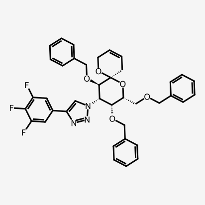 Fc1cc(-c2cn([C@H]3[C@@H](OCc4ccccc4)[C@@H](COCc4ccccc4)O[C@@]4(CC=CCO4)[C@@H]3OCc3ccccc3)nn2)cc(F)c1F